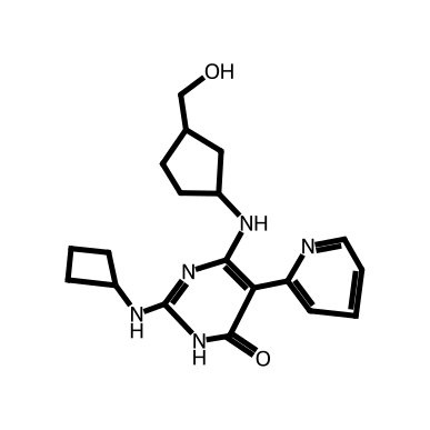 O=c1[nH]c(NC2CCC2)nc(NC2CCC(CO)C2)c1-c1ccccn1